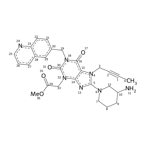 CC#CCn1c(N2CCCC(N)C2)nc2c1c(=O)n(Cc1ccc3ncccc3c1)c(=O)n2CC(=O)OC